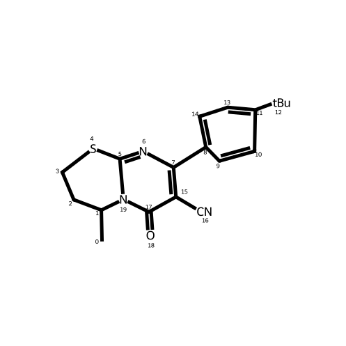 CC1CCSc2nc(-c3ccc(C(C)(C)C)cc3)c(C#N)c(=O)n21